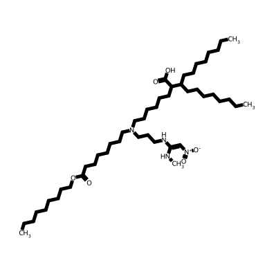 CCCCCCCCCOC(=O)CCCCCCCN(CCCCCCC(C(=O)O)C(CCCCCCCC)CCCCCCCC)CCCNC(=C[N+](=O)[O-])NC